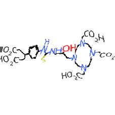 O=C(O)CC(CC(=O)O)c1ccc(NC(=S)NCC(O)CN2CCN(CC(=O)O)CCN(CC(=O)O)CCN(CC(=O)O)CC2)cc1